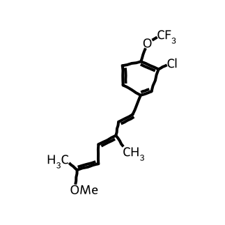 CO/C(C)=C/C=C(C)/C=C/c1ccc(OC(F)(F)F)c(Cl)c1